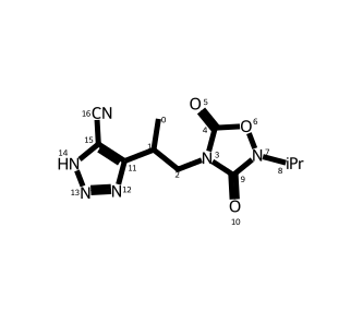 CC(Cn1c(=O)on(C(C)C)c1=O)c1nn[nH]c1C#N